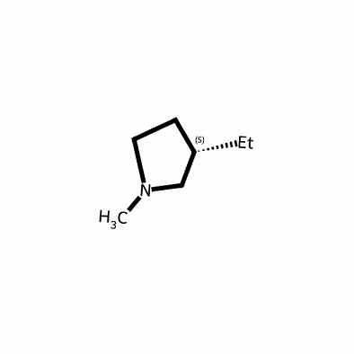 CC[C@H]1CCN(C)C1